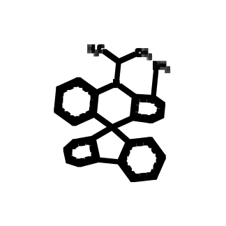 CC(C)B1c2ccccc2C2(c3ccccc3-c3ccccc32)c2cccc(N)c21